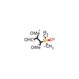 COC(C=O)C(OC)P(C)(C)=O